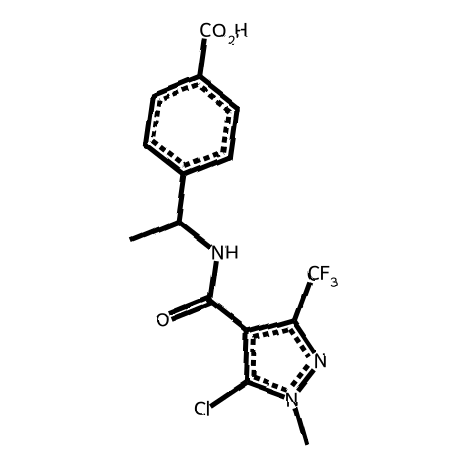 CC(NC(=O)c1c(C(F)(F)F)nn(C)c1Cl)c1ccc(C(=O)O)cc1